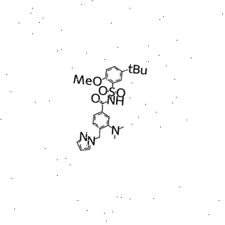 COc1ccc(C(C)(C)C)cc1S(=O)(=O)NC(=O)c1ccc(Cn2cccn2)c(N(C)C)c1